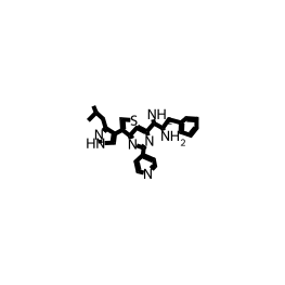 CC(C)Cc1n[nH]cc1-c1csc2c(C(N)C(N)Cc3ccccc3)nc(-c3ccncc3)nc12